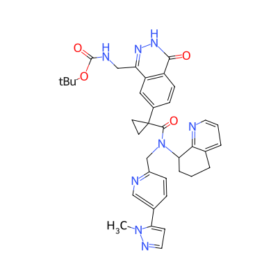 Cn1nccc1-c1ccc(CN(C(=O)C2(c3ccc4c(=O)[nH]nc(CNC(=O)OC(C)(C)C)c4c3)CC2)C2CCCc3cccnc32)nc1